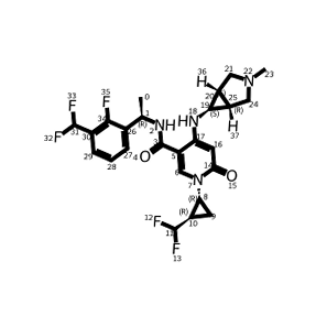 C[C@@H](NC(=O)c1cn([C@@H]2C[C@H]2C(F)F)c(=O)cc1N[C@H]1[C@@H]2CN(C)C[C@@H]21)c1cccc(C(F)F)c1F